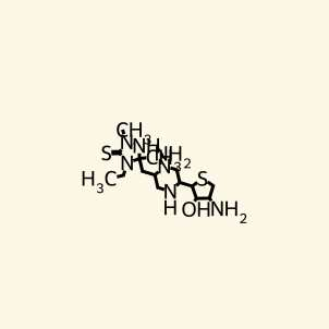 CCN1C(=S)N(C)NC1(C)CC1CNC(C2SCC(N)C2O)CN1N